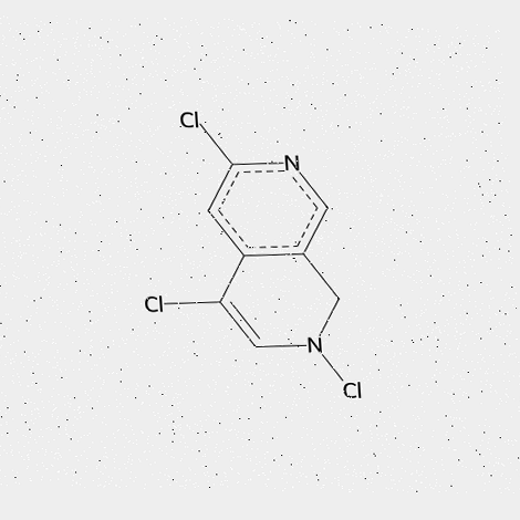 ClC1=CN(Cl)Cc2cnc(Cl)cc21